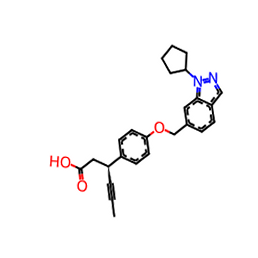 CC#C[C@@H](CC(=O)O)c1ccc(OCc2ccc3cnn(C4CCCC4)c3c2)cc1